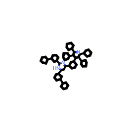 C1=C(c2cccc(-c3ccccc3)c2)NC(c2cccc(-c3ccccc3)c2)N=C1c1cccc(-c2c(-c3ccccc3)c(-c3ccccc3)nc(-c3ccccc3)c2-c2ccccc2)c1